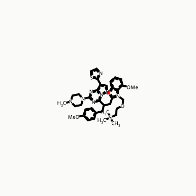 COc1ccc(CC(Cc2nc3cccc(OC)c3n2COCC[Si](C)(C)C)c2nc(N3CCN(C)CC3)nc3c(-c4nccs4)cnn23)cc1